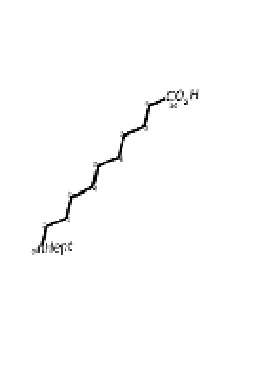 CCCCCCCCC[CH]CCCCCCC(=O)O